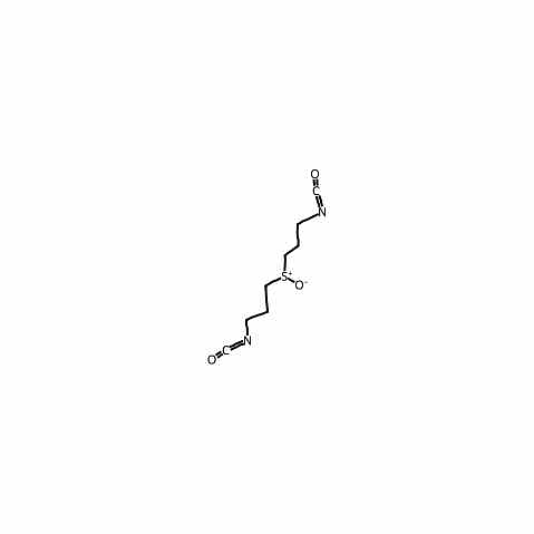 O=C=NCCC[S+]([O-])CCCN=C=O